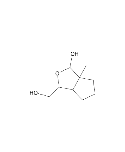 CC12CCCC1C(CO)OC2O